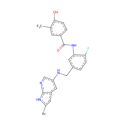 CC(=O)c1cc2cc(NCc3ccc(F)c(NC(=O)c4ccc(O)c(C(F)(F)F)c4)c3)cnc2[nH]1